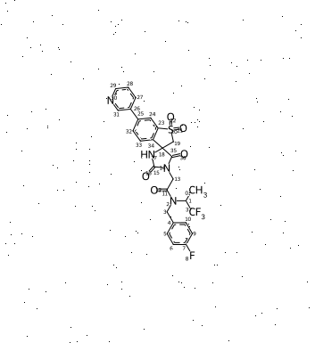 CC(N(Cc1ccc(F)cc1)C(=O)CN1C(=O)NC2(CS(=O)(=O)c3cc(-c4cccnc4)ccc32)C1=O)C(F)(F)F